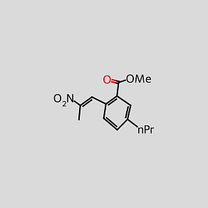 CCCc1ccc(C=C(C)[N+](=O)[O-])c(C(=O)OC)c1